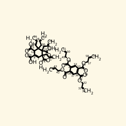 C=CCC1(C(=O)O)C=C(C(=O)O)C(C(=O)O)C(CC=C)(CC=C)C1(CC=C)C(=O)O.C=CCOC(=O)c1cc(C(=O)OCC=C)c(C(=O)OCC=C)cc1C(=O)OCC=C